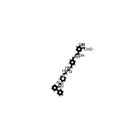 O=CNc1cc([C@H](O)CNCc2ccc(CNC(=O)NCCN3CCC(OC(=O)Nc4ccccc4-c4ccccc4)CC3)cc2)ccc1O